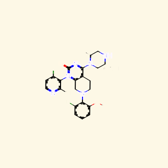 COc1cccc(F)c1N1CCc2c(N3C[C@@H](C)NC[C@@H]3C)nc(=O)n(-c3c(F)ccnc3C)c2C1